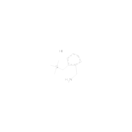 C[Si](C)(C)Cc1ccccc1CN.I